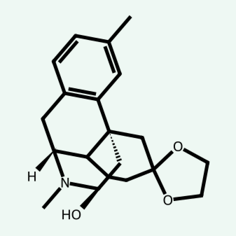 Cc1ccc2c(c1)[C@]13CCN(C)[C@H](C2)C1[C@H](O)CC1(C3)OCCO1